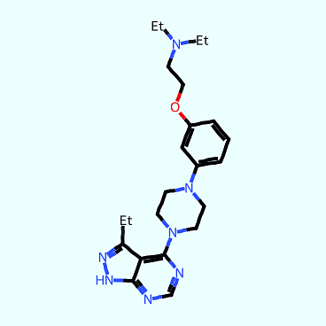 CCc1n[nH]c2ncnc(N3CCN(c4cccc(OCCN(CC)CC)c4)CC3)c12